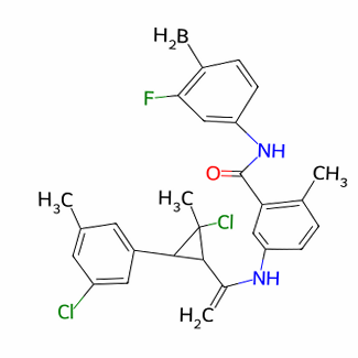 Bc1ccc(NC(=O)c2cc(NC(=C)C3C(c4cc(C)cc(Cl)c4)C3(C)Cl)ccc2C)cc1F